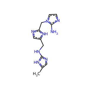 Cc1cnc(NCc2cnc(Cn3ccnc3N)[nH]2)[nH]1